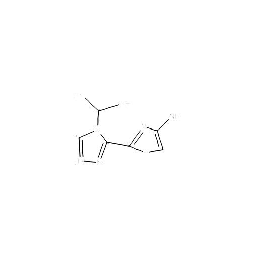 CC(C)C(C)n1cnnc1-c1nc(N)cs1